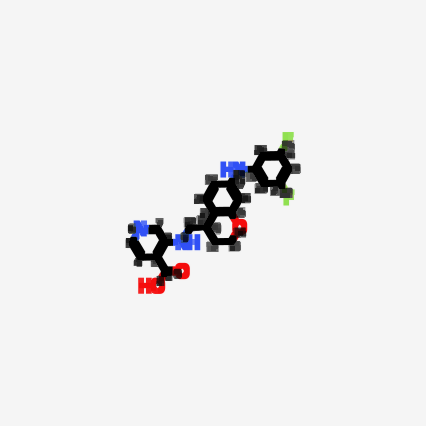 O=C(O)c1ccncc1NC[C@@H]1CCOc2cc(Nc3cc(F)cc(F)c3)ccc21